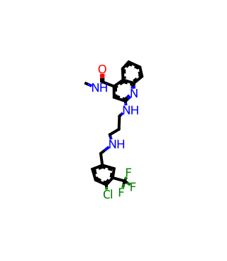 CNC(=O)c1cc(NCCCNCc2ccc(Cl)c(C(F)(F)F)c2)nc2ccccc12